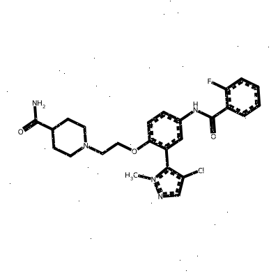 Cn1ncc(Cl)c1-c1cc(NC(=O)c2ccccc2F)ccc1OCCN1CCC(C(N)=O)CC1